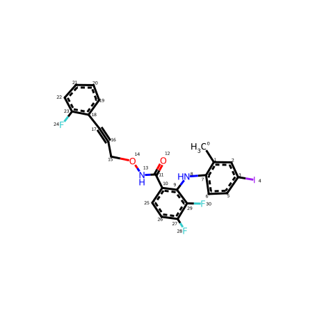 Cc1cc(I)ccc1Nc1c(C(=O)NOCC#Cc2ccccc2F)ccc(F)c1F